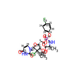 B[C@]1(Cl)[C@H](O)[C@@H](COP(=O)(N[C@@H](C)C(=O)OCC)Oc2ccc(F)cc2)O[C@H]1n1ccc(=O)[nH]c1=O